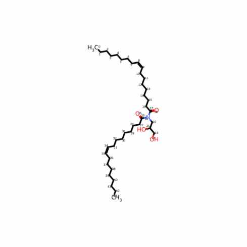 CCCCCCCC/C=C\CCCCCCCC(=O)N(CC(O)CO)C(=O)CCCCCCC/C=C\CCCCCCCC